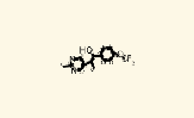 Cc1ncc(C(C)C(O)c2ccc(OC(F)(F)F)cc2)cn1